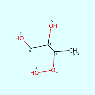 CC(OO)C(O)CO